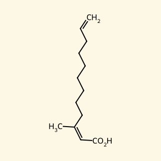 C=CCCCCCCCC(C)=CC(=O)O